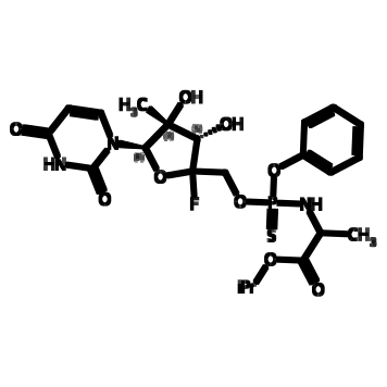 CC(C)OC(=O)C(C)NP(=S)(OCC1(F)O[C@@H](n2ccc(=O)[nH]c2=O)[C@](C)(O)[C@@H]1O)Oc1ccccc1